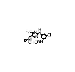 FC(F)(F)c1nc(Nc2cccc(Cl)c2)ncc1CNC1CC1.O=CO